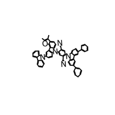 Cc1oc2c(ccc3c2c2cc(-n4c5ccccc5c5ccccc54)ccc2n3-c2cc(C#N)c(-n3c4ccc(C5=CC=CCC=C5)cc4c4cc(-c5ccccc5)ccc43)cc2C#N)c1C